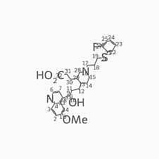 COc1ccc2nccc([C@@H](O)CCC3CCN(CCCSc4ccccc4F)CC3CCC(=O)O)c2c1